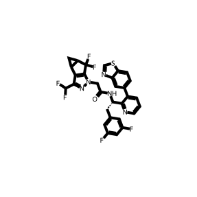 O=C(Cn1nc(C(F)F)c2c1C(F)(F)C1CC21)N[C@@H](Cc1cc(F)cc(F)c1)c1ncccc1-c1ccc2scnc2c1